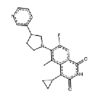 Cc1c(N2CCC(c3cccnc3)C2)c(F)cn2c(=O)[nH]c(=O)c(C3CC3)c12